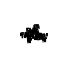 CC[C@H]1O[C@@H](n2cnc3c(=O)[nH]c(NC(=O)C(C)C)nc32)[C@H](OP(=S)(OCCC#N)OC[C@H]2C[C@@H](Nc3ccncn3)[C@H](F)[C@@H]2O[PH](=O)O)[C@@H]1F